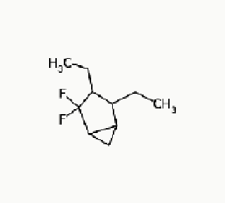 CCC1C2CC2C(F)(F)C1CC